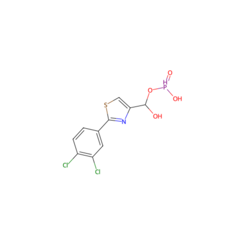 O=[PH](O)OC(O)c1csc(-c2ccc(Cl)c(Cl)c2)n1